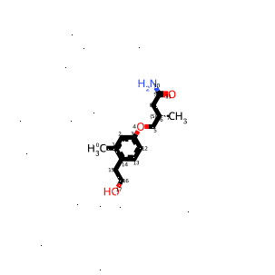 Cc1cc(OC[C@@H](C)CC(N)=O)ccc1[CH]CO